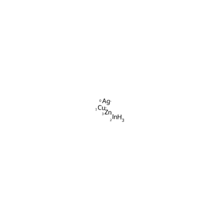 [Ag].[Cu].[InH3].[Zn]